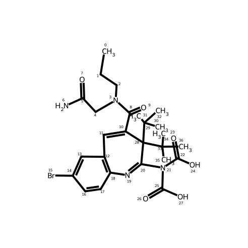 CCCN(CC(N)=O)C(=O)C1=Cc2cc(Br)ccc2N=C(N(C(=O)O)C(=O)O)C1(C(C)(C)C)C(C)(C)C